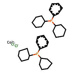 [Cl-].[Cl-].[Co+2].c1ccc(P(C2CCCCC2)C2CCCCC2)cc1.c1ccc(P(C2CCCCC2)C2CCCCC2)cc1